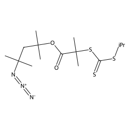 CC(C)SC(=S)SC(C)(C)C(=O)OC(C)(C)CC(C)(C)N=[N+]=[N-]